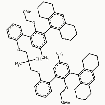 COCOc1c(-c2ccccc2OCC(C)(C)COc2ccccc2-c2cc(C)cc(-c3c4c(cc5c3CCCC5)CCCC4)c2OCOC)cc(C)cc1-c1c2c(cc3c1CCCC3)CCCC2